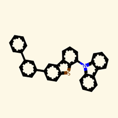 c1ccc(-c2cccc(-c3ccc4sc5c(-n6c7ccccc7c7ccccc76)cccc5c4c3)c2)cc1